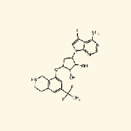 CC(F)(F)c1cc2c(c(OC3CC(n4cc(F)c5c(N)ncnc54)C(O)C3O)c1)CNCC2